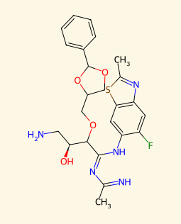 CC(=N)/N=C(\Nc1cc2sc(C)nc2cc1F)C(OCC1COC(c2ccccc2)O1)[C@@H](O)CN